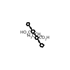 CC(C)(c1ccc(C#Cc2ccccc2)c(C(=O)O)c1)c1ccc(C#Cc2ccccc2)c(C(=O)O)c1